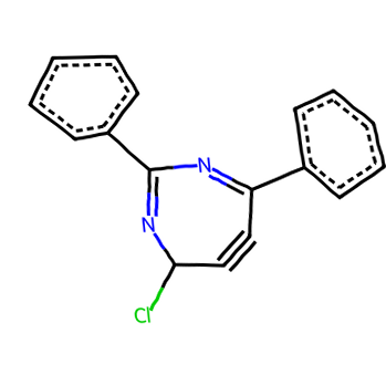 ClC1C#CC(c2ccccc2)=NC(c2ccccc2)=N1